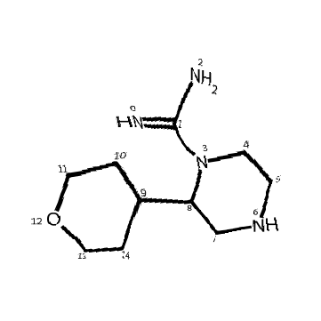 N=C(N)N1CCNCC1C1CCOCC1